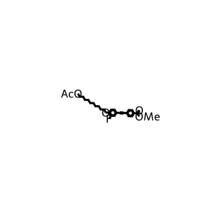 COC(=O)c1ccc(C#Cc2ccc(OCCCCCCCCCCOC(C)=O)c(F)c2)cc1